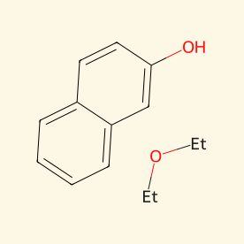 CCOCC.Oc1ccc2ccccc2c1